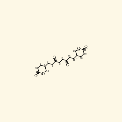 O=C(CCC(=O)CCC1CCC(=O)OC1)CCC1CCC(=O)OC1